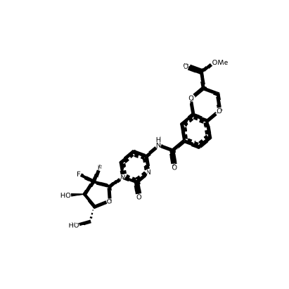 COC(=O)C1COc2ccc(C(=O)Nc3ccn(C4O[C@H](CO)[C@@H](O)C4(F)F)c(=O)n3)cc2O1